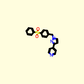 O=S(=O)(c1ccccc1)c1ccc(Cn2ccc(-c3ccncc3)n2)cc1